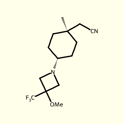 COC1(C(F)(F)F)CN([C@H]2CC[C@](C)(CC#N)CC2)C1